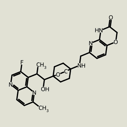 Cc1ccc2ncc(F)c(C(C)C(O)C34CCC(NCc5ccc6c(n5)NC(=O)CO6)(CC3)CO4)c2n1